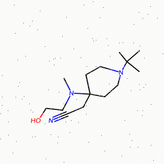 CN(CCO)C1(CC#N)CCN(C(C)(C)C)CC1